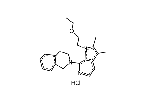 CCOCCn1c(C)c(C)c2ccnc(N3CCc4ccccc4C3)c21.Cl